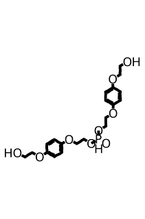 O=[PH](OCCOc1ccc(OCCO)cc1)OCCOc1ccc(OCCO)cc1